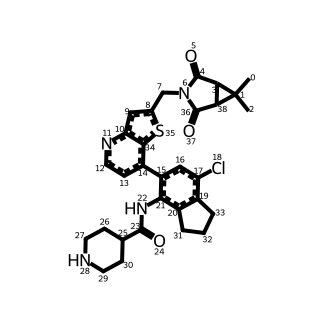 CC1(C)C2C(=O)N(Cc3cc4nccc(-c5cc(Cl)c6c(c5NC(=O)C5CCNCC5)CCC6)c4s3)C(=O)C21